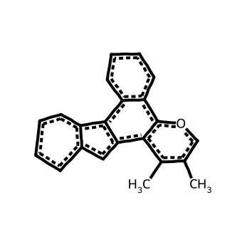 Cc1coc2c3ccccc3c3c4ccccc4cc3c2c1C